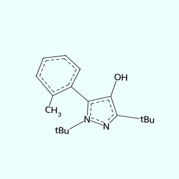 Cc1ccccc1-c1c(O)c(C(C)(C)C)nn1C(C)(C)C